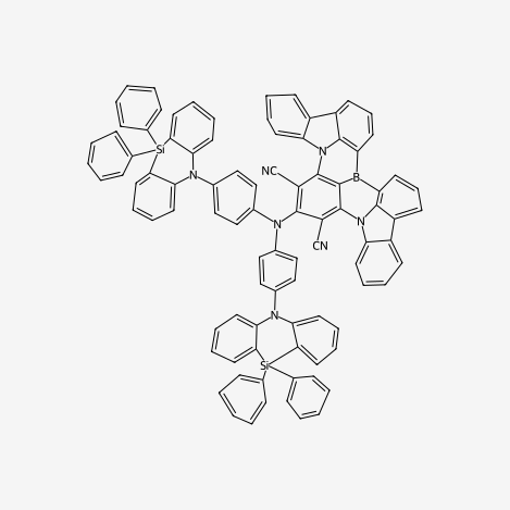 N#Cc1c(N(c2ccc(N3c4ccccc4[Si](c4ccccc4)(c4ccccc4)c4ccccc43)cc2)c2ccc(N3c4ccccc4[Si](c4ccccc4)(c4ccccc4)c4ccccc43)cc2)c(C#N)c2c3c1-n1c4ccccc4c4cccc(c41)B3c1cccc3c4ccccc4n-2c13